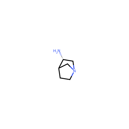 N[C@@H]1CN2CCC1C2